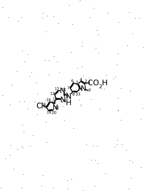 Cn1c(C(=O)O)cc2ccc(Nc3nccc(-c4cc(Cl)ccn4)n3)cc21